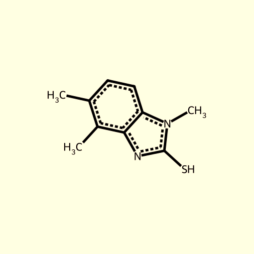 Cc1ccc2c(nc(S)n2C)c1C